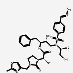 Cc1nc(CN2CCN([C@H](C(=O)N[C@@H](Cc3ccccc3)[C@H](O)CN([C@H](CO)C(C)C)S(=O)(=O)c3ccc(C=NO)cc3)C(C)C)C2=O)cs1